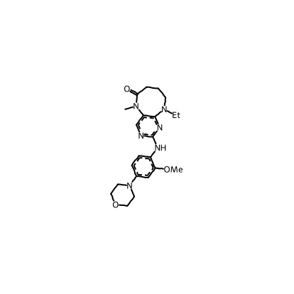 CCN1CCCC(=O)N(C)c2cnc(Nc3ccc(N4CCOCC4)cc3OC)nc21